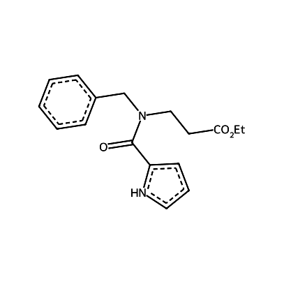 CCOC(=O)CCN(Cc1ccccc1)C(=O)c1ccc[nH]1